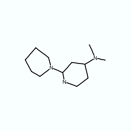 CN(C)C1CC[N]C(N2CCCCC2)C1